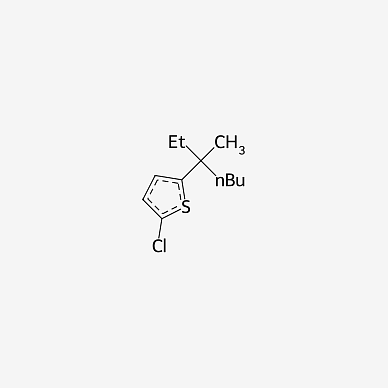 CCCCC(C)(CC)c1ccc(Cl)s1